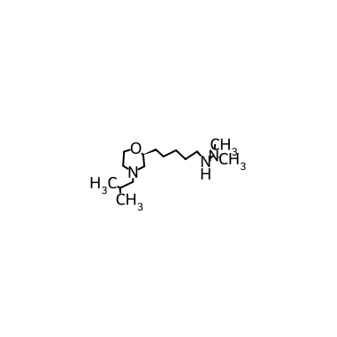 CC(C)CN1CCO[C@@H](CCCCCNN(C)C)C1